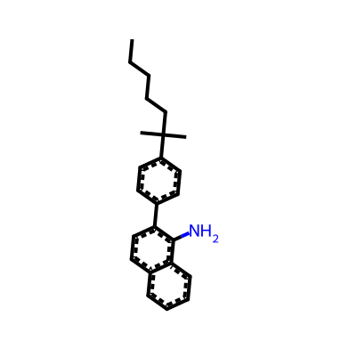 CCCCCC(C)(C)c1ccc(-c2ccc3ccccc3c2N)cc1